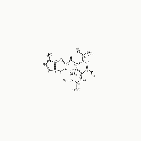 CCn1ncc2ccc(Nc3nc(N[C@H](C(C)C)[C@H](C)N)c(F)cc3C(N)=O)cc21